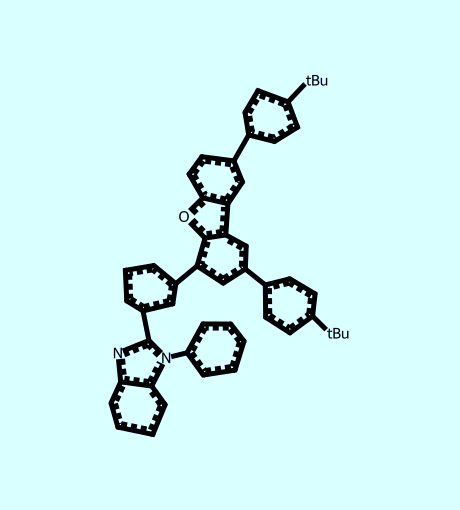 CC(C)(C)c1ccc(-c2ccc3oc4c(-c5cccc(-c6nc7ccccc7n6-c6ccccc6)c5)cc(-c5ccc(C(C)(C)C)cc5)cc4c3c2)cc1